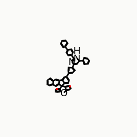 C1=C(c2ccc(-c3ccc4c(c3)-c3cc5ccccc5cc3C43c4ccccc4Oc4ccccc43)cc2)N=C(c2ccc(-c3ccccc3)cc2)NC1c1ccccc1